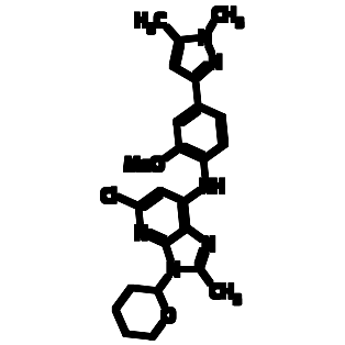 COc1cc(-c2cc(C)n(C)n2)ccc1Nc1cc(Cl)nc2c1nc(C)n2C1CCCCO1